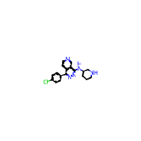 Clc1ccc(-c2nnc(NC3CCCNC3)c3cnccc23)cc1